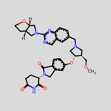 COC[C@@H]1CN(Cc2ccc3nc(N4C[C@@H]5CCO[C@@H]5C4)ncc3c2)C[C@H]1Oc1ccc2c(c1)CN([C@H]1CCC(=O)NC1=O)C2=O